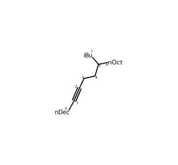 [CH2]CCCCCCCCCC#CCCC(CCCCCCC[CH2])C(C)CC